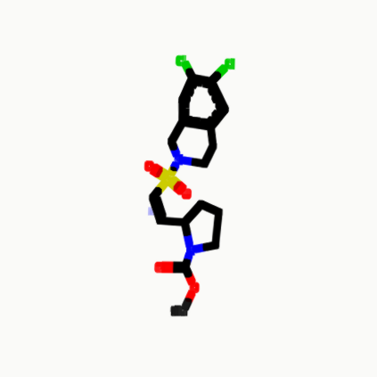 CC(C)(C)OC(=O)N1CCCC1/C=C\S(=O)(=O)N1CCc2cc(Cl)c(Cl)cc2C1